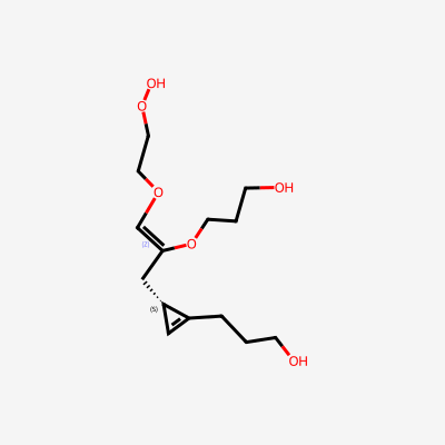 OCCCO/C(=C\OCCOO)C[C@H]1C=C1CCCO